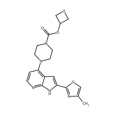 Cc1coc(-c2cc3c(N4CCN(C(=O)OC5COC5)CC4)ccnc3[nH]2)n1